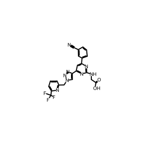 N#Cc1cccc(-c2cc(-c3cn(Cc4cccc(C(F)(F)F)n4)nn3)nc(NCC(=O)O)n2)c1